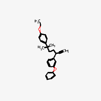 C#CC(CCC(C)(C)c1ccc(OCC)cc1)c1cccc(Oc2ccccc2)c1